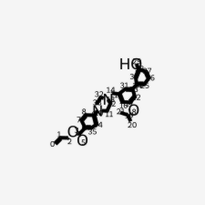 C=CCOC(=O)c1ccc(N2CCN(Cc3cc(OC(C)C)cc(-c4cccc(O)c4)c3)CC2)cc1